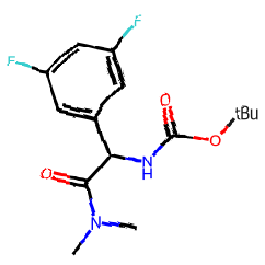 CN(C)C(=O)C(NC(=O)OC(C)(C)C)c1cc(F)cc(F)c1